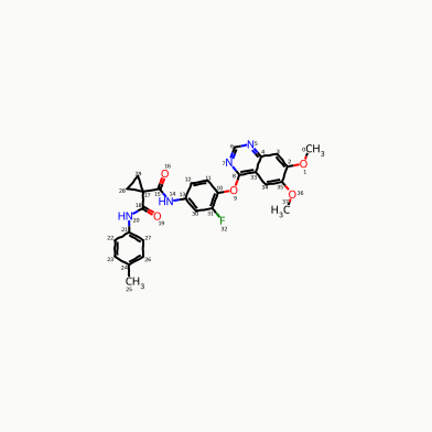 COc1cc2ncnc(Oc3ccc(NC(=O)C4(C(=O)Nc5ccc(C)cc5)CC4)cc3F)c2cc1OC